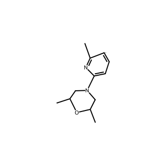 Cc1[c]ccc(N2CC(C)OC(C)C2)n1